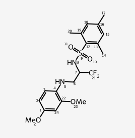 COc1ccc(NCC(NS(=O)(=O)c2c(C)cc(C)cc2C)C(F)(F)F)c(OC)c1